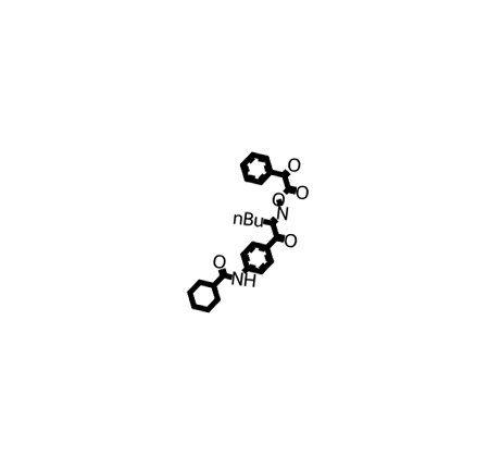 CCCC/C(=N\OC(=O)C(=O)c1ccccc1)C(=O)c1ccc(NC(=O)C2CCCCC2)cc1